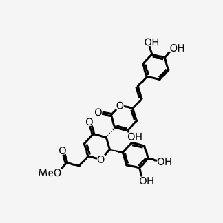 COC(=O)CC1=CC(=O)[C@H](c2c(O)cc(/C=C/c3ccc(O)c(O)c3)oc2=O)[C@@H](c2ccc(O)c(O)c2)O1